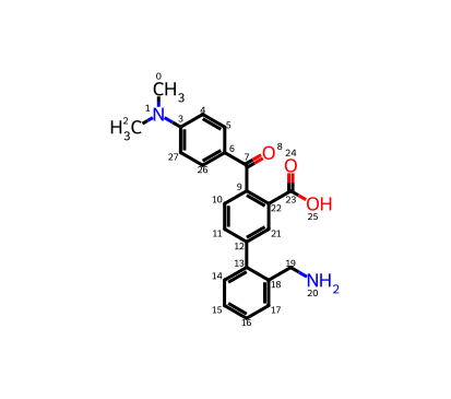 CN(C)c1ccc(C(=O)c2ccc(-c3ccccc3CN)cc2C(=O)O)cc1